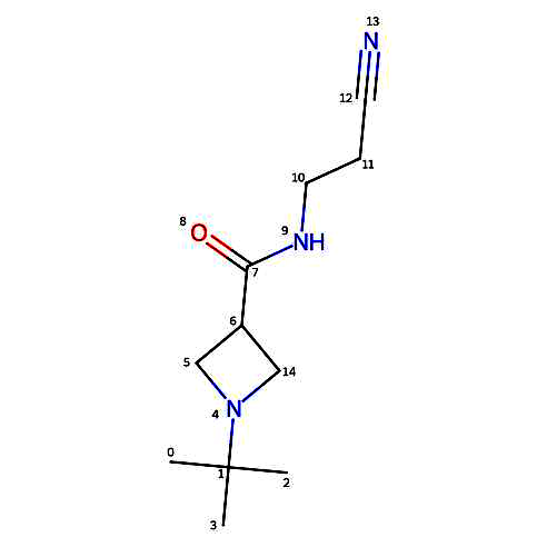 CC(C)(C)N1CC(C(=O)NCCC#N)C1